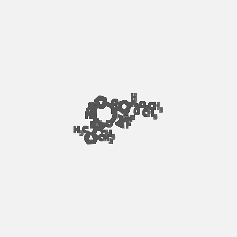 Cc1cccc(C)c1-c1nc2nc(c1C)OC[C@@H](CC1(C(F)(F)F)CC1)N(C1CCC(NC(=O)OC(C)C)CC1)C(=O)c1cccc(c1)S(=O)(=O)N2